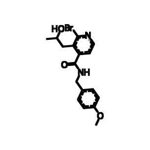 COc1ccc(CNC(=O)c2ccnc(Br)c2CC(C)O)cc1